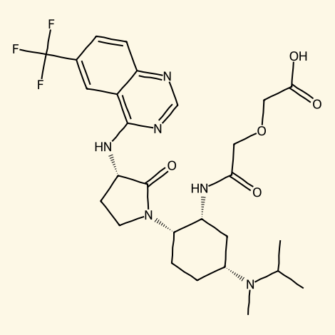 CC(C)N(C)[C@@H]1CC[C@H](N2CC[C@H](Nc3ncnc4ccc(C(F)(F)F)cc34)C2=O)[C@H](NC(=O)COCC(=O)O)C1